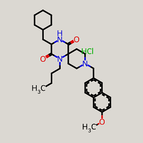 CCCCN1C(=O)C(CC2CCCCC2)NC(=O)C12CCN(Cc1ccc3cc(OC)ccc3c1)CC2.Cl